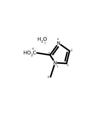 Cn1ccnc1C(=O)O.O